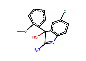 CSc1ccccc1C1(O)C(N)=Nc2ccc(Cl)cc21